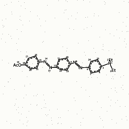 CCN(CC)c1ccc(N=Nc2ccc(N=Nc3ccc(OC(C)=O)cc3)cc2)cc1